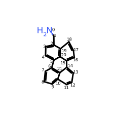 NCc1ccc2c3cccc4cccc(c5cccc1c52)c43